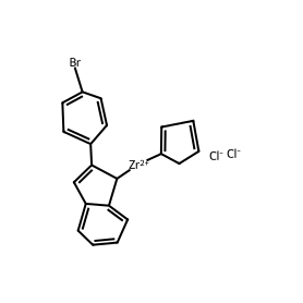 Brc1ccc(C2=Cc3ccccc3[CH]2[Zr+2][C]2=CC=CC2)cc1.[Cl-].[Cl-]